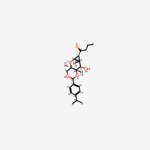 CCCC(=O)[C@@H]1[C@H]2O[C@@H]3COC(c4ccc(C(C)C)cc4)O[C@H]3[C@H](O)[C@H]21